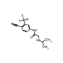 CC(C)NCC(=O)Nc1ccc(C#N)c(C(F)(F)F)c1